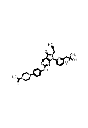 C#CCn1c(=O)c2cnc(Nc3ccc(N4CCN(C(C)=O)CC4)cc3)nc2n1-c1cccc(CC(C)(C)O)n1